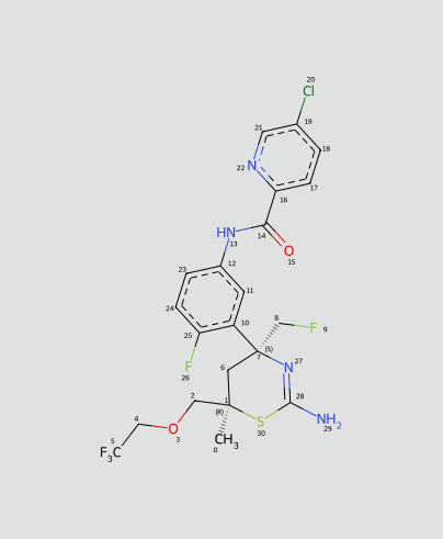 C[C@]1(COCC(F)(F)F)C[C@@](CF)(c2cc(NC(=O)c3ccc(Cl)cn3)ccc2F)N=C(N)S1